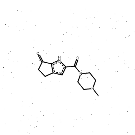 CN1CCN(C(=O)c2cc3c([nH]2)C(=O)CC3)CC1